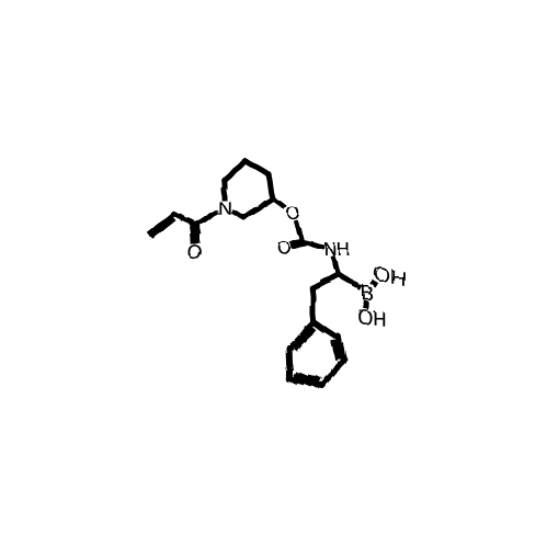 C=CC(=O)N1CCCC(OC(=O)NC(Cc2ccccc2)B(O)O)C1